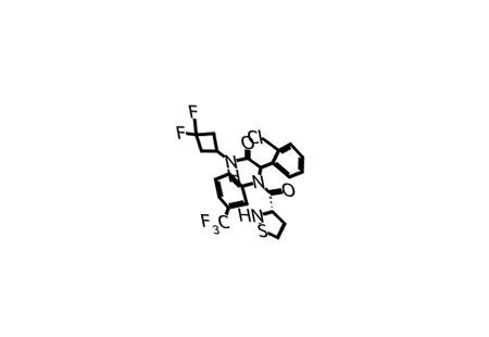 O=C(NC1CC(F)(F)C1)C(c1ccccc1Cl)N(C(=O)[C@@H]1CCSN1)c1cccc(C(F)(F)F)c1